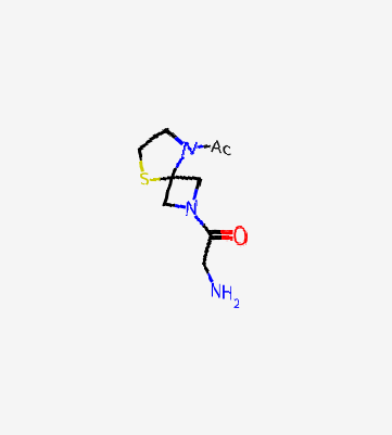 CC(=O)N1CCSC12CN(C(=O)CN)C2